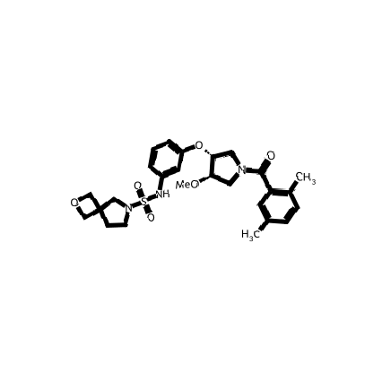 CO[C@@H]1CN(C(=O)c2cc(C)ccc2C)C[C@H]1Oc1cccc(NS(=O)(=O)N2CCC3(COC3)C2)c1